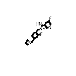 N=C(NCc1ccc(CN2CCC2)cc1F)c1cncc(F)c1